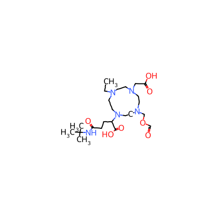 CCN1CCN(CC(=O)O)CCN(COC=O)CCN(C(CCC(=O)NC(C)(C)C)C(=O)O)CC1